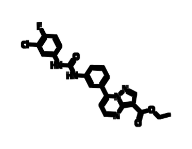 CCOC(=O)c1cnn2c(-c3cccc(NC(=O)Nc4ccc(F)c(Cl)c4)c3)ccnc12